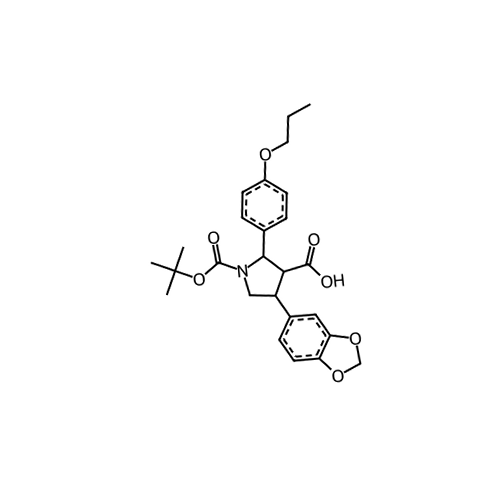 CCCOc1ccc(C2C(C(=O)O)C(c3ccc4c(c3)OCO4)CN2C(=O)OC(C)(C)C)cc1